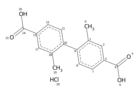 Cc1cc(C(=O)O)ccc1-c1ccc(C(=O)O)cc1C.Cl